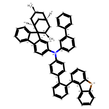 C[C@H]1C[C@@H]2C[C@H](C1)C1(c3ccccc3-c3ccc(N(c4ccc(-c5ccccc5-c5cccc6sc7ccccc7c56)cc4)c4cccc(-c5ccccc5)c4)cc31)[C@H](C)C2